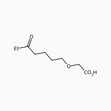 CCC(=O)CCCCOCC(=O)O